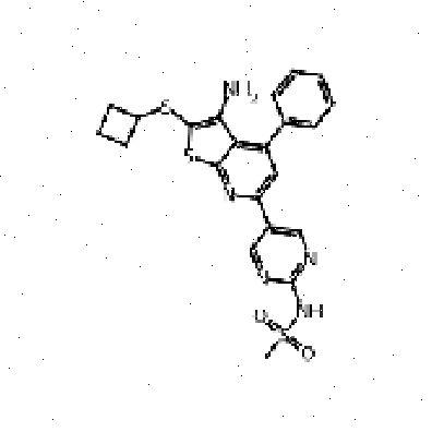 CS(=O)(=O)Nc1ncc(-c2cc(-c3ccccc3)c3c(N)c(SC4CCC4)sc3n2)cn1